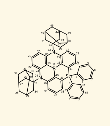 c1ccc([Si]2(c3ccccc3)c3cccc4c3B3c5c(cccc5N(C56CC7CC(CC(C7)C5)C6)c5cccc2c53)N4C23CC4CC(CC(C4)C2)C3)cc1